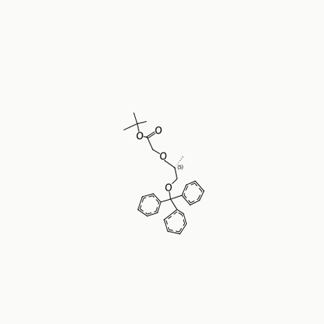 C[C@@H](COCC(=O)OC(C)(C)C)COC(c1ccccc1)(c1ccccc1)c1ccccc1